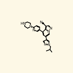 CC(C)Cn1cc(-c2cc(-c3ccc(N4CCNCC4)nc3)c3c(C#N)cnn3c2)cn1